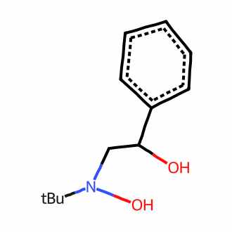 CC(C)(C)N(O)CC(O)c1ccccc1